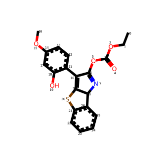 CCOC(=O)OC1=NC2C(=C1c1ccc(OC)cc1O)Sc1ccccc12